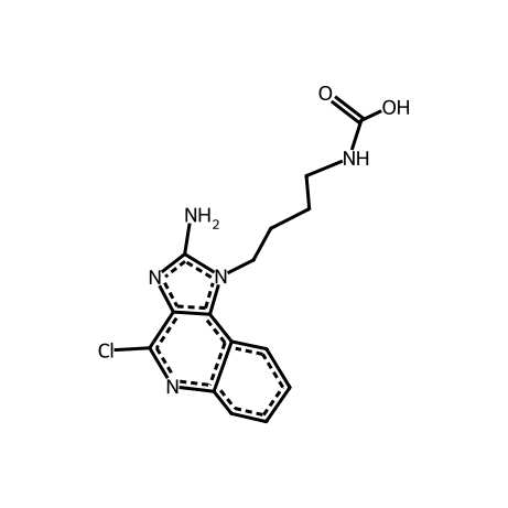 Nc1nc2c(Cl)nc3ccccc3c2n1CCCCNC(=O)O